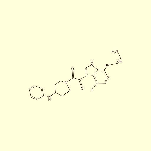 N/C=C\Nc1ncc(F)c2c(C(=O)C(=O)N3CCC(Nc4ccccc4)CC3)c[nH]c12